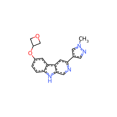 Cn1cc(-c2cc3c(cn2)[nH]c2ccc(OC4COC4)cc23)cn1